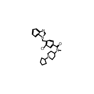 CN(C(=O)c1ccc(Cn2cnc3ccccc32)c(Cl)c1)C1CCN(C2CCCC2)CC1